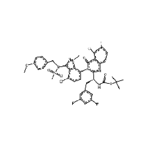 COc1ccc(CN(c2nn(C)c3c(-n4c([C@H](Cc5cc(F)cc(F)c5)NC(=O)OC(C)(C)C)nc5ccc(F)c(Cl)c5c4=O)ccc(Cl)c23)S(C)(=O)=O)cc1